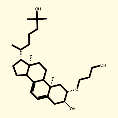 CC(CCCC(C)(C)O)[C@H]1CCC2C3=CC=C4C[C@@H](O)[C@@H](OCCCO)C[C@]4(C)C3CC[C@@]21C